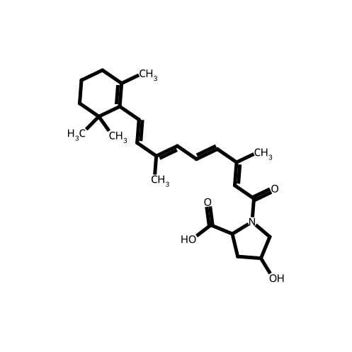 CC(C=CC1=C(C)CCCC1(C)C)=CC=CC(C)=CC(=O)N1CC(O)CC1C(=O)O